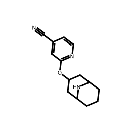 N#Cc1ccnc(OC2CC3CCCC(C2)N3)c1